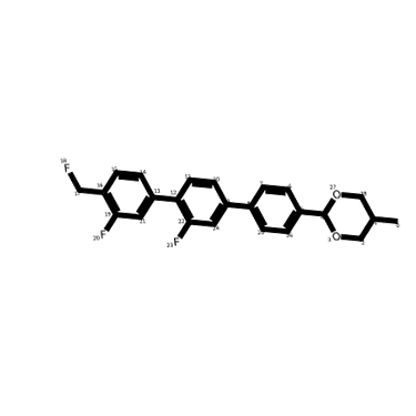 CC1COC(c2ccc(-c3ccc(-c4ccc(CF)c(F)c4)c(F)c3)cc2)OC1